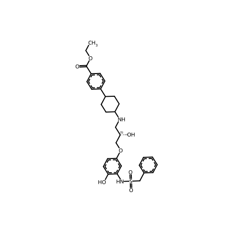 CCOC(=O)c1ccc(C2CCC(NC[C@H](O)COc3ccc(O)c(NS(=O)(=O)Cc4ccccc4)c3)CC2)cc1